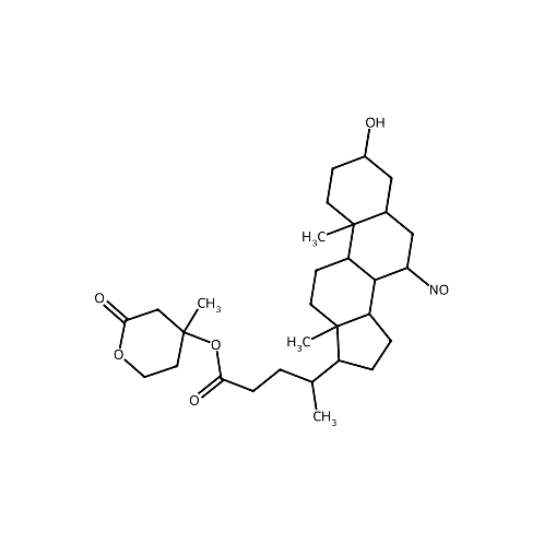 CC(CCC(=O)OC1(C)CCOC(=O)C1)C1CCC2C3C(N=O)CC4CC(O)CCC4(C)C3CCC12C